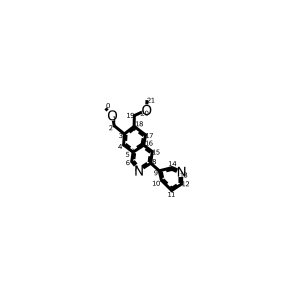 COCc1cc2cnc(-c3cccnc3)cc2cc1COC